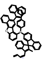 C=C/C=C\C1=C(C)C2(c3ccccc31)c1ccccc1-c1ccc(N(c3ccc(-c4ccccc4)cc3)c3cccc4oc5c6ccccc6c(-c6cccc7ccccc67)cc5c34)cc12